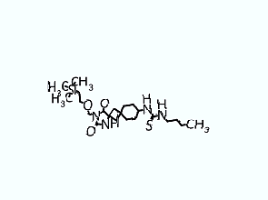 CCCCNC(=S)NC1CCC2(CC1)CC1(C2)NC(=O)N(COCC[Si](C)(C)C)C1=O